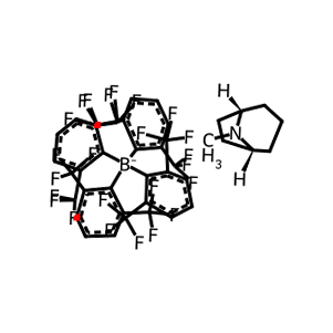 CN1[C@@H]2CCC[C@H]1CC2.FC(F)(F)c1cccc(C(F)(F)F)c1[B-](c1c(C(F)(F)F)cccc1C(F)(F)F)(c1c(C(F)(F)F)cccc1C(F)(F)F)c1c(C(F)(F)F)cccc1C(F)(F)F